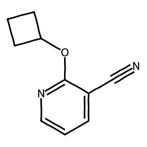 N#Cc1cccnc1OC1CCC1